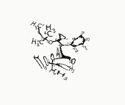 CCC(C)(C)OC(=O)C(C(=O)OC(C)(C)CC)c1ccccc1